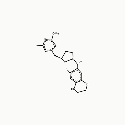 COc1cc(C[C@H]2CCN([C@H](C)c3cc4c(cc3F)NCCO4)C2)cc(C)n1